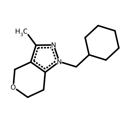 Cc1nn(CC2CCCCC2)c2c1COCC2